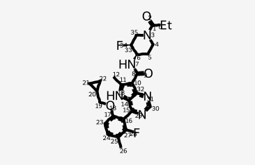 CCC(=O)N1CC[C@@H](NC(=O)c2c(C)[nH]c3c(-c4c(OCC5CC5)ccc(C)c4F)ncnc23)[C@@H](F)C1